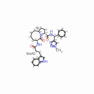 CN[C@@H](Cc1c[nH]c2ccccc12)C(=O)N[C@H]1CCCC[C@H]2CC[C@@H](C(=O)N[C@@H](c3ccccc3)c3cn(C)nn3)N2C1=O